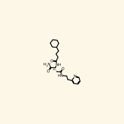 NC(=O)[C@@H](CC(=O)NCCc1ccccn1)NC(=O)CCCC1CCCCC1